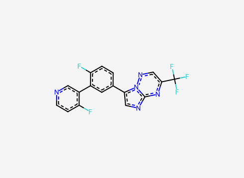 Fc1ccncc1-c1cc(-c2cnc3nc(C(F)(F)F)cnn23)ccc1F